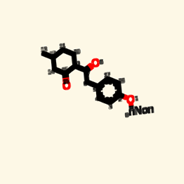 CCCCCCCCCOc1ccc(CC(=O)C2CCC(C)CC2=O)cc1